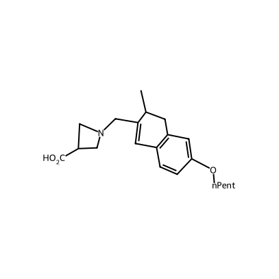 CCCCCOc1ccc2c(c1)CC(C)C(CN1CC(C(=O)O)C1)=C2